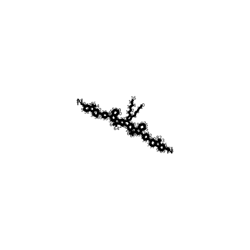 CCCCCCCCC1(CCCCCCCC)c2cc3c(cc2-c2cc4c(cc21)-c1c(cc(-c2ccc(-c5ccc6c(c5)C(C)(C)c5cc(C#N)ccc5-6)cc2)c2ccccc12)C4(C)C)C(C)(C)c1cc(-c2ccc(-c4ccc5c(c4)C(C)(C)c4cc(C#N)ccc4-5)cc2)c2ccccc2c1-3